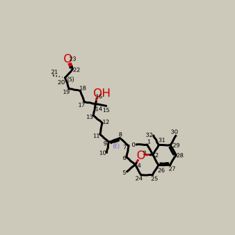 CCC12OC(C)(CC/C=C(\C)CCCC(C)(O)CCC[C@H](C)C=O)CCC1=CC=C(C)C2C